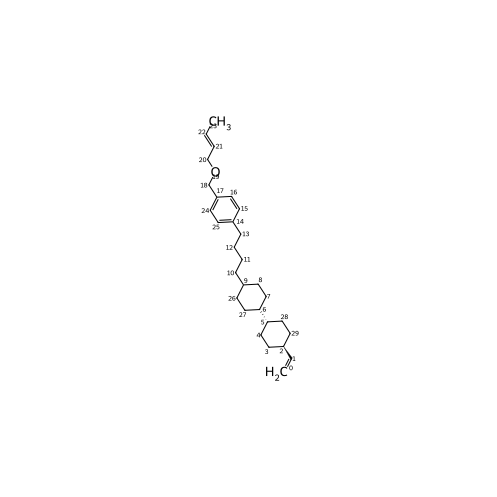 C=C[C@H]1CC[C@H](C2CCC(CCCCc3ccc(COCC=CC)cc3)CC2)CC1